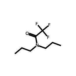 CCCN(CCC)C(=O)C(F)(F)F